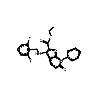 CCOC(=O)c1sc2c(ccc(=O)n2-c2ccccc2)c1NCc1c(F)cccc1F